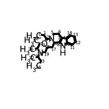 CCC(=O)N1CCc2c([nH]c3ccccc23)C1CCCN(C(C)CC)C(C)CC